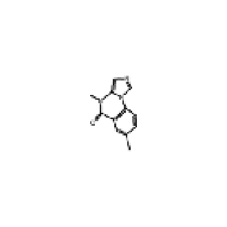 Cc1ccc2c(c1)c(=O)n(C)c1cncn21